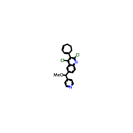 COC(c1ccncc1)c1ccc2nc(Cl)c(C3=CC=CCCC3)c(Cl)c2c1